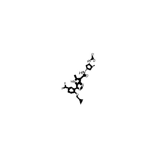 CCC(=O)N[C@H]1C[C@H](NC(=O)c2c(C)[nH]c3c(-c4cc(C(F)F)ccc4OCC4CC4)ncnc23)C[C@@H]1C